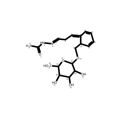 NC(=O)N/N=C/C/C=C1/C=CC=CC1COC1OC(C(=O)O)C(O)C(O)C1O